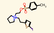 Cc1ccc(S(=O)(=O)OCC[N+]2(CCc3ccc(I)s3)CCCC2)cc1